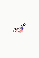 Cc1ccccc1-c1ccc2c(CCCOc3cccc4ccccc34)c(OC(=O)O)[nH]c2c1